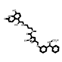 CCn1nc(COc2cccc(C(NC(=O)O)c3ccccc3)c2)cc1C(=O)N(C)CCCNCC(O)c1ccc(O)c2[nH]c(=O)ccc12